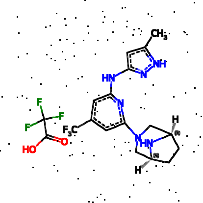 Cc1cc(Nc2cc(C(F)(F)F)cc(N3C[C@H]4CC[C@@H](C3)N4)n2)n[nH]1.O=C(O)C(F)(F)F